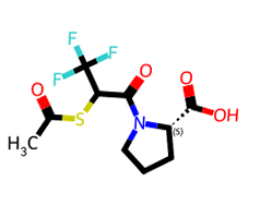 CC(=O)SC(C(=O)N1CCC[C@H]1C(=O)O)C(F)(F)F